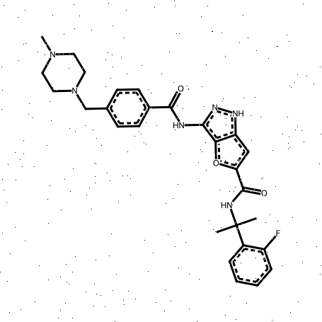 CN1CCN(Cc2ccc(C(=O)Nc3n[nH]c4cc(C(=O)NC(C)(C)c5ccccc5F)oc34)cc2)CC1